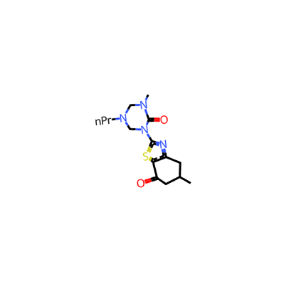 CCCN1CN(C)C(=O)N(c2nc3c(s2)C(=O)CC(C)C3)C1